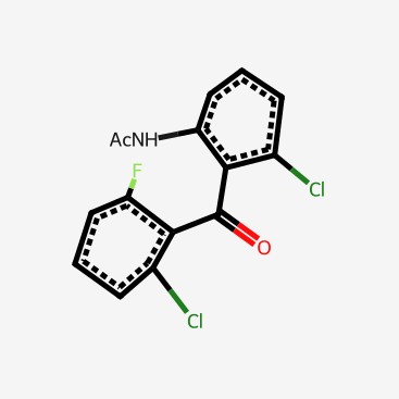 CC(=O)Nc1cccc(Cl)c1C(=O)c1c(F)cccc1Cl